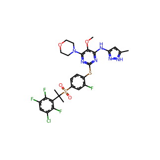 COc1c(Nc2cc(C)[nH]n2)nc(Sc2ccc(S(=O)(=O)C(C)(C)c3c(F)c(F)cc(Cl)c3F)cc2F)nc1N1CCOCC1